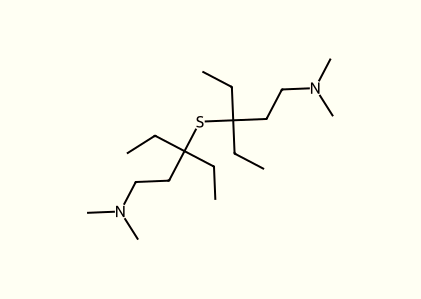 CCC(CC)(CCN(C)C)SC(CC)(CC)CCN(C)C